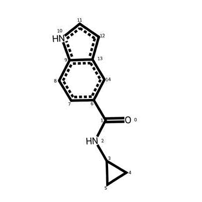 O=C(NC1CC1)c1ccc2[nH]ccc2c1